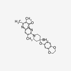 BC1(Oc2ccc3c(c2)OCCO3)CCN(c2nn3c(=O)c(C)c(C)nc3cc2C)CC1